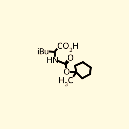 CCC(C)C(NC(=O)OC1(C)CCCCC1)C(=O)O